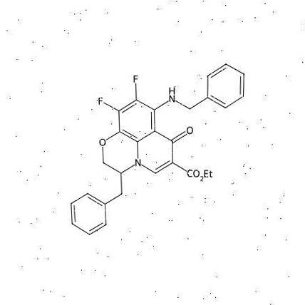 CCOC(=O)c1cn2c3c(c(F)c(F)c(NCc4ccccc4)c3c1=O)OCC2Cc1ccccc1